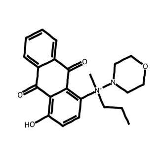 CCC[N+](C)(c1ccc(O)c2c1C(=O)c1ccccc1C2=O)N1CCOCC1